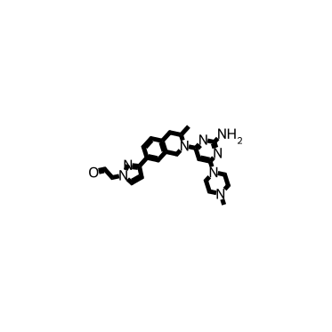 CC1Cc2ccc(-c3ccn(CC=O)n3)cc2CN1c1cc(N2CCN(C)CC2)nc(N)n1